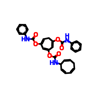 O=C(Nc1ccccc1)OC1=CCC(OC(=O)Nc2ccccc2)=CC(OC(=O)NC2C=C/C=C\C/C=C\2)=C1